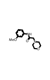 COc1cccc(NC(=O)CN2CCOCC2)c1